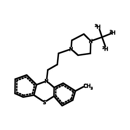 [2H]C([2H])([2H])N1CCN(CCCN2c3ccccc3Sc3ccc(C)cc32)CC1